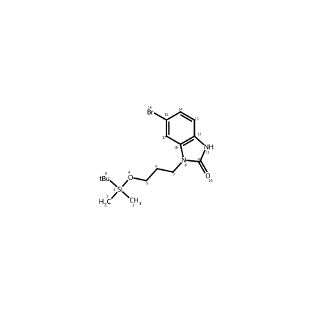 CC(C)(C)[Si](C)(C)OCCCn1c(=O)[nH]c2ccc(Br)cc21